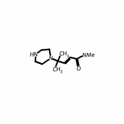 CNC(=O)C=CC(C)(C)N1CCNCC1